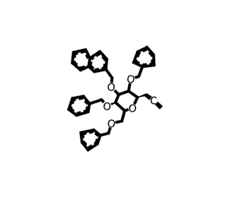 C=C=C[C@H]1OC(COCc2ccccc2)[C@@H](OCc2ccccc2)C(OCc2ccc3ccccc3c2)C1OCc1ccccc1